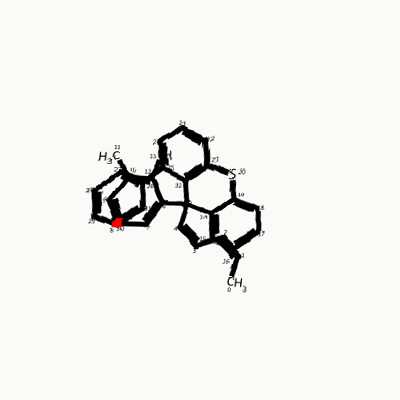 C/C=C\C=C/C1(c2cccc(C)c2S)c2ccccc2Sc2cccc(-c3ccccc3)c21